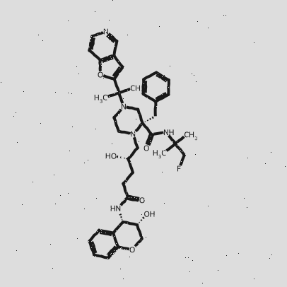 CC(C)(CF)NC(=O)[C@]1(Cc2ccccc2)CN(C(C)(C)c2cc3cnccc3o2)CCN1C[C@@H](O)CCC(=O)N[C@H]1c2ccccc2OC[C@H]1O